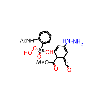 CC(=O)Nc1ccccc1[As](=O)(O)OO.COC(=O)C1C=CC(NN)=CC1=C=O